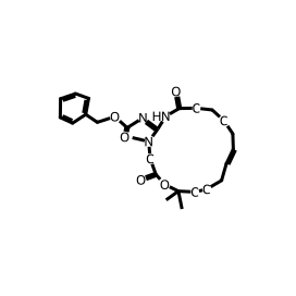 CN1CC(=O)OC(C)(C)CCC/C=C/CCCCC(=O)N/C1=N/C(=O)OCc1ccccc1